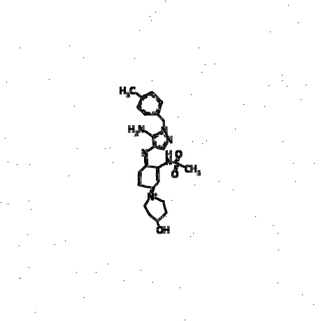 Cc1ccc(Cn2ncc(/N=C3/C=CC(=[N+]4CCC(O)CC4)C=C3NS(C)(=O)=O)c2N)cc1